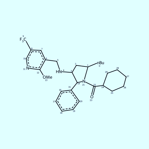 CCCCC1CC(NCc2cc(C(F)(F)F)cnc2OC)C(c2ccccc2)N1C(=O)C1CCCCC1